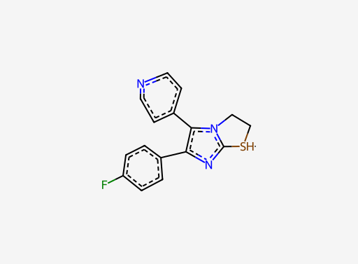 Fc1ccc(-c2nc3n(c2-c2ccncc2)CC[SH]3)cc1